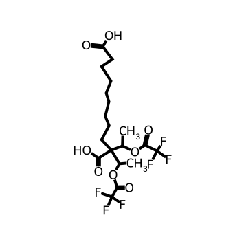 CC(OC(=O)C(F)(F)F)C(CCCCCCCCC(=O)O)(C(=O)O)C(C)OC(=O)C(F)(F)F